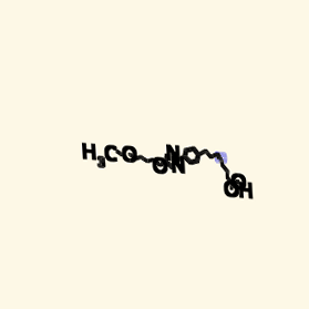 CCCOCCCCOc1cnc(-c2ccc(CC/C=C\CCCC(=O)O)cc2)nc1